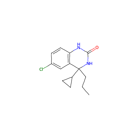 CCCC1(C2CC2)NC(=O)Nc2ccc(Cl)cc21